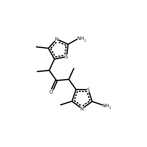 Cc1nc(N)sc1C(C)C(=O)C(C)c1sc(N)nc1C